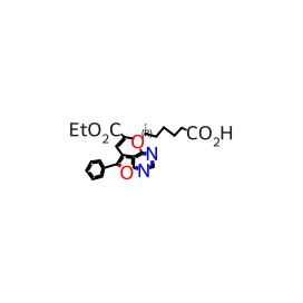 CCOC(=O)C(C)=Cc1c(-c2ccccc2)oc2ncnc(O[C@H](C)CCCCC(=O)O)c12